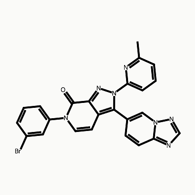 Cc1cccc(-n2nc3c(=O)n(-c4cccc(Br)c4)ccc3c2-c2ccc3ncnn3c2)n1